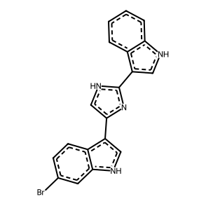 Brc1ccc2c(-c3c[nH]c(-c4c[nH]c5ccccc45)n3)c[nH]c2c1